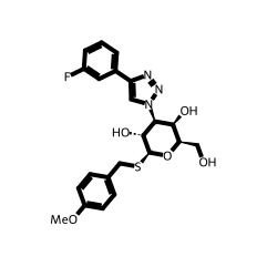 COc1ccc(CS[C@@H]2O[C@H](CO)[C@H](O)[C@H](n3cc(-c4cccc(F)c4)nn3)[C@H]2O)cc1